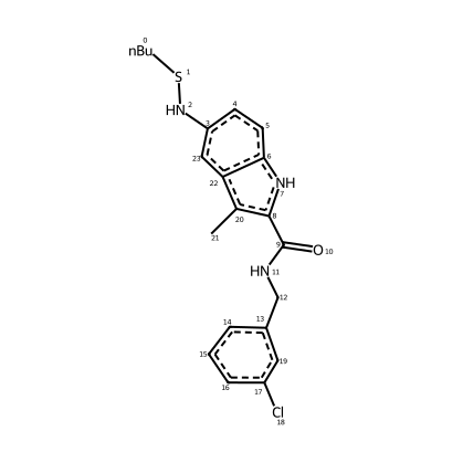 CCCCSNc1ccc2[nH]c(C(=O)NCc3cccc(Cl)c3)c(C)c2c1